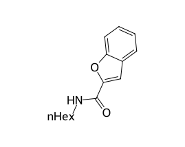 CCCCCCNC(=O)c1cc2ccccc2o1